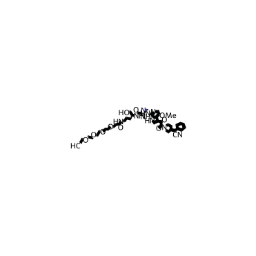 C#CCOCCOCCOCCOCCC(=O)NCCC[C@@H](CO)NC(=O)C(=N)/N=C\Nc1ncc(OC)c2c(C(=O)C(=O)N3CCC(=C(C#N)c4ccccc4)CC3)c[nH]c12